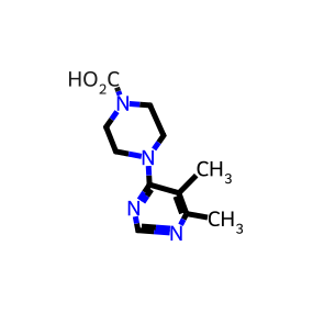 Cc1ncnc(N2CCN(C(=O)O)CC2)c1C